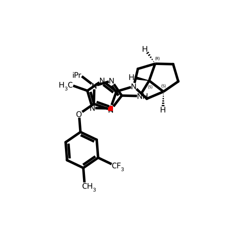 Cc1noc(N2C[C@H]3CC[C@@H](C2)[C@@H]3Nc2nc(Oc3ccc(C)c(C(F)(F)F)c3)n(C(C)C)n2)n1